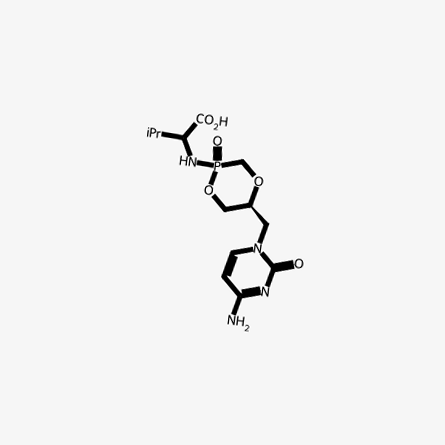 CC(C)C(NP1(=O)CO[C@@H](Cn2ccc(N)nc2=O)CO1)C(=O)O